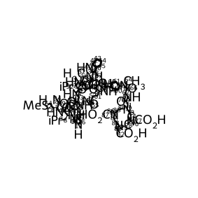 CSCC[C@H](NC(=O)[C@H](CC(C)C)NC(=O)[C@H](Cc1c[nH]cn1)NC(=O)CNC(=O)[C@@H](NC(=O)[C@H](C)NC(=O)[C@H](Cc1c[nH]c2ccccc12)NC(=O)C(CCC(N)=O)NC(=O)c1ccc(N(C)C(=O)CNC(=O)CN2CCN(CC(=O)O)CCN(CC(=O)O)CCN(CC(=O)O)CC2)cc1)C(C)C)C(N)=O